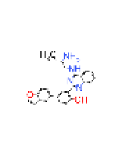 CCC(N)CNc1nc(-c2cc(-c3ccc4occc4c3)ccc2O)nc2ccccc12